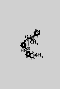 Cc1nc(-c2ccncc2)sc1C(=O)NCc1cccc(C(=O)Nc2ccc3c(c2)CN(C)CC3)c1